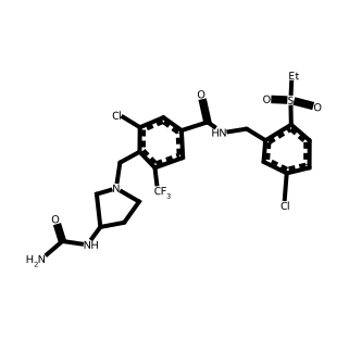 CCS(=O)(=O)c1ccc(Cl)cc1CNC(=O)c1cc(Cl)c(CN2CCC(NC(N)=O)C2)c(C(F)(F)F)c1